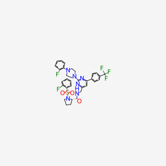 O=C(NCc1cc(-c2ccc(C(F)(F)F)cc2)nc(N2CCN(c3ccccc3F)CC2)n1)[C@@H]1CCCN1S(=O)(=O)c1ccccc1F